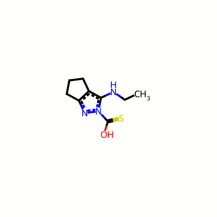 CCNc1c2c(nn1C(O)=S)CCC2